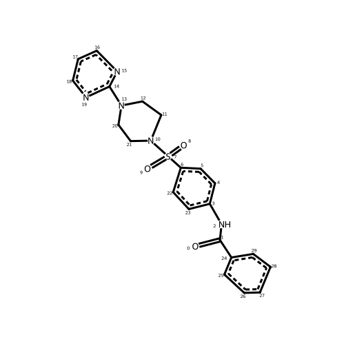 O=C(Nc1ccc(S(=O)(=O)N2CCN(c3ncccn3)CC2)cc1)c1ccccc1